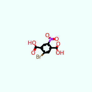 O=C(O)c1cc(I(=O)=O)c(C(=O)O)cc1Br